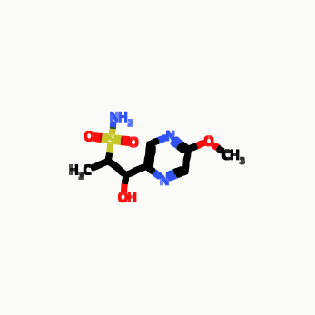 COc1cnc(C(O)C(C)S(N)(=O)=O)cn1